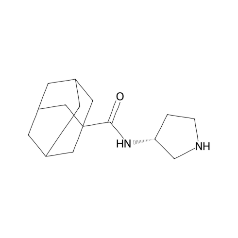 O=C(N[C@@H]1CCNC1)C12CC3CC(CC(C3)C1)C2